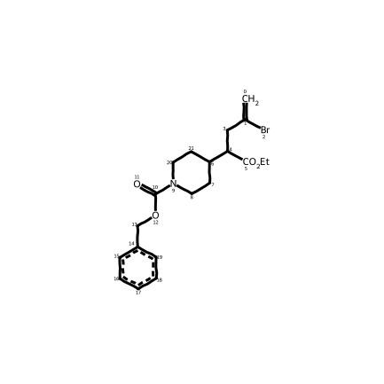 C=C(Br)CC(C(=O)OCC)C1CCN(C(=O)OCc2ccccc2)CC1